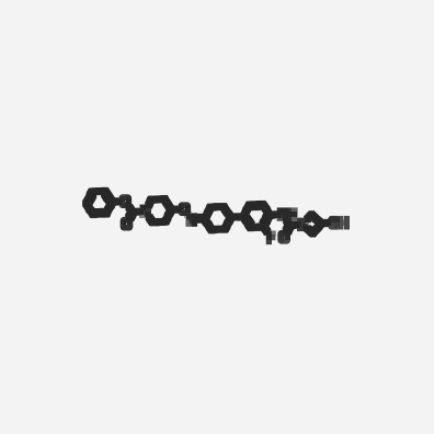 O=C(Nc1ccc(C2CCC(=NOC3CCN(C(=O)Oc4ccccc4)CC3)CC2)cc1F)N1CC(O)C1